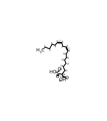 CCCCC/C=C\C/C=C\CCCCCCC(C(=O)O)S(=O)(=O)O